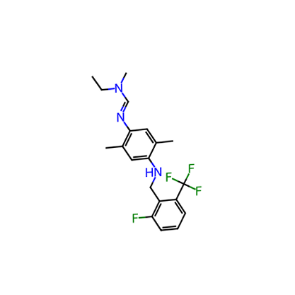 CCN(C)C=Nc1cc(C)c(NCc2c(F)cccc2C(F)(F)F)cc1C